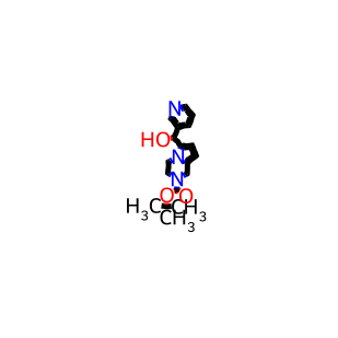 CC(C)(C)OC(=O)N1CCn2c(ccc2C(O)c2cccnc2)C1